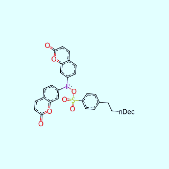 CCCCCCCCCCCCc1ccc(S(=O)(=O)O[I+](c2ccc3ccc(=O)oc3c2)c2ccc3ccc(=O)oc3c2)cc1